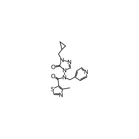 Cc1ncsc1C(=O)N(Cc1ccncc1)n1cnn(CC2CC2)c1=O